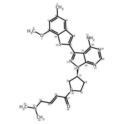 COc1cc(C)cc2cc(-c3nn([C@H]4CCN(C(=O)/C=C/CN(C)C)C4)c4ncnc(N)c34)sc12